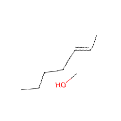 CC=CCCCC.CO